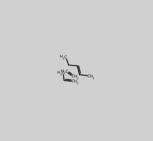 C/C=C/CC.C=C.C=CC